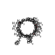 CC[C@@H]1NC(=O)[C@H]([C@H](O)[C@H](C)CCCCNC(=O)OC)N(C)C(=O)[C@H](C(C)C)N(C)C(=O)[C@H](CC(C)C)N(C)C(=O)[C@H](CC(C)C)N(C)C(=O)[C@@H](C)NC(=O)[C@H](C)NC(=O)[C@H](CC(C)C)N(C)C(=O)[C@H](C(C)C)NC(=O)[C@H]([C@@H](C)OCCCCN2CCOCC2)N(C)C(=O)[C@@H](C)N(C)C1=O